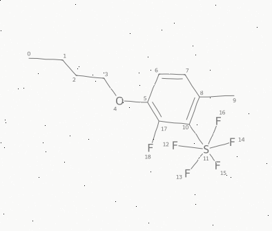 CCCCOc1ccc(C)c(S(F)(F)(F)(F)F)c1F